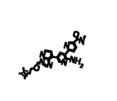 CN(C)C(=O)c1ccc(-c2cc(-c3ccnc4c3ncn4COCC[Si](C)(C)C)cnc2N)nc1